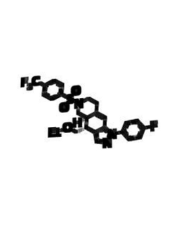 CCOC[C@H]1c2cnn(-c3ccc(F)cc3)c2C=C2CCN(S(=O)(=O)c3ccc(C(F)(F)F)cc3)C[C@@H]21